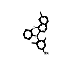 Cc1ccc2ccc3c(c2c1)Oc1ccccc1N3c1c(C)cc(C(C)(C)C)cc1C